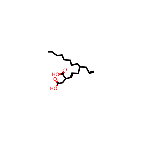 C=CCC(CC=CC(CC(=O)O)C(=O)O)CCCCCCCC